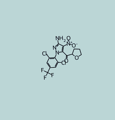 Nc1nn(-c2c(Cl)cc(C(F)(F)F)cc2Cl)c(C(=O)C2CCCO2)c1[N+](=O)[O-]